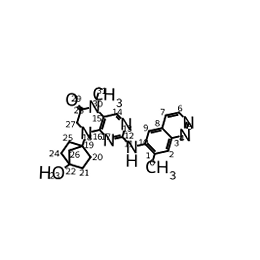 Cc1cc2nnccc2cc1Nc1ncc2c(n1)N(C13CCC(O)(CC1)C3)CC(=O)N2C